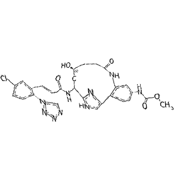 COC(=O)Nc1ccc2c(c1)NC(=O)CC[C@H](O)CC(NC(=O)C=Cc1cc(Cl)ccc1-n1cnnn1)c1nc-2c[nH]1